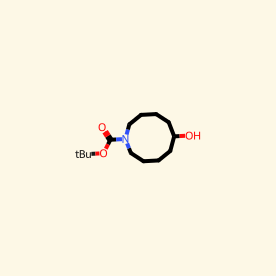 CC(C)(C)OC(=O)N1CCCCC(O)CCCC1